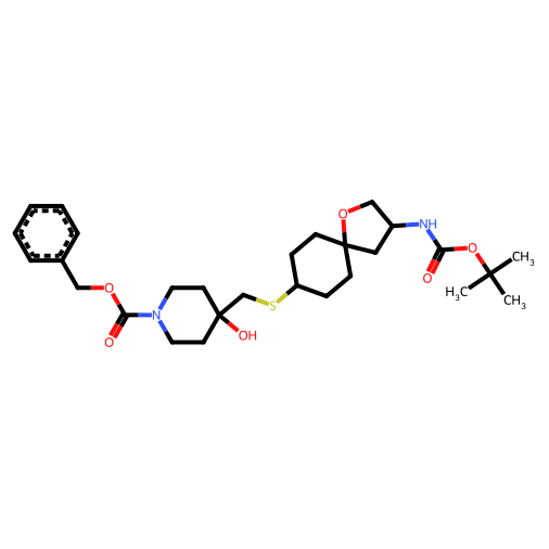 CC(C)(C)OC(=O)NC1COC2(CCC(SCC3(O)CCN(C(=O)OCc4ccccc4)CC3)CC2)C1